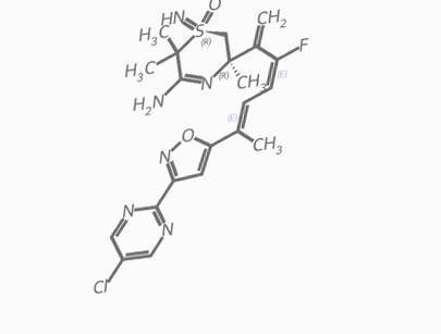 C=C(/C(F)=C\C=C(/C)c1cc(-c2ncc(Cl)cn2)no1)[C@]1(C)C[S@@](=N)(=O)C(C)(C)C(N)=N1